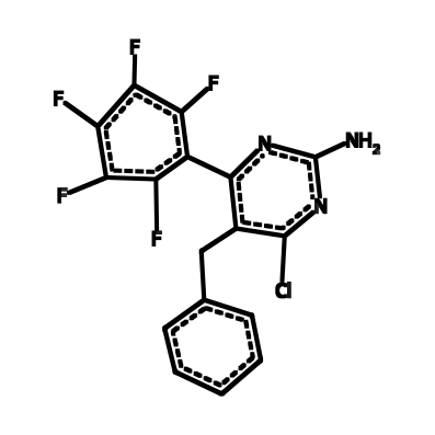 Nc1nc(Cl)c(Cc2ccccc2)c(-c2c(F)c(F)c(F)c(F)c2F)n1